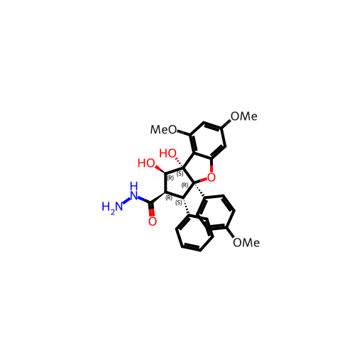 COc1ccc([C@@]23Oc4cc(OC)cc(OC)c4[C@]2(O)[C@H](O)[C@H](C(=O)NN)[C@H]3c2ccccc2)cc1